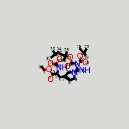 CCOC(=O)C(CC1=CCN(C(=N)N(C(=O)OC(C)(C)C)C(=O)OC(C)(C)C)C1)NC(=O)OC(C)(C)C